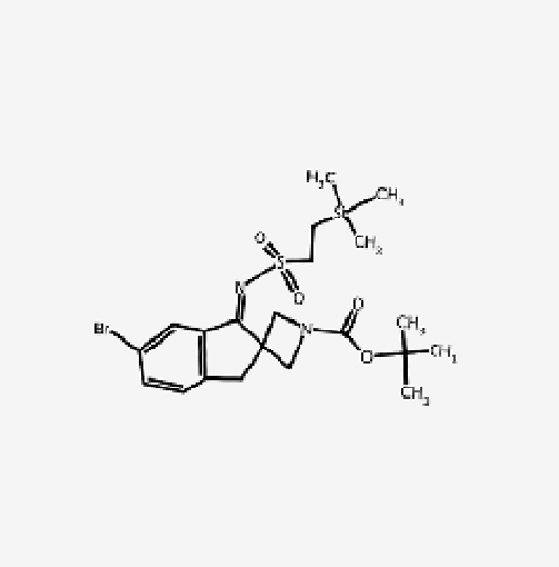 CC(C)(C)OC(=O)N1CC2(Cc3ccc(Br)cc3/C2=N/S(=O)(=O)CC[Si](C)(C)C)C1